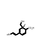 CCCC=CC1=C[C@](F)(CO)C(C(=O)O)C=C1